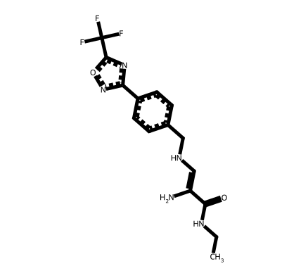 CCNC(=O)/C(N)=C/NCc1ccc(-c2noc(C(F)(F)F)n2)cc1